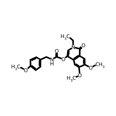 CCn1cc(OC(=O)NCc2ccc(OC)cc2)c2cc(OC)c(OC)cc2c1=O